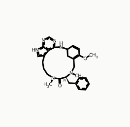 COC1=C2CC(C=C1)Nc1ncnc3[nH]cc(c13)CCCN(C)C(=O)[C@H](Cc1ccccc1)N(C)C2